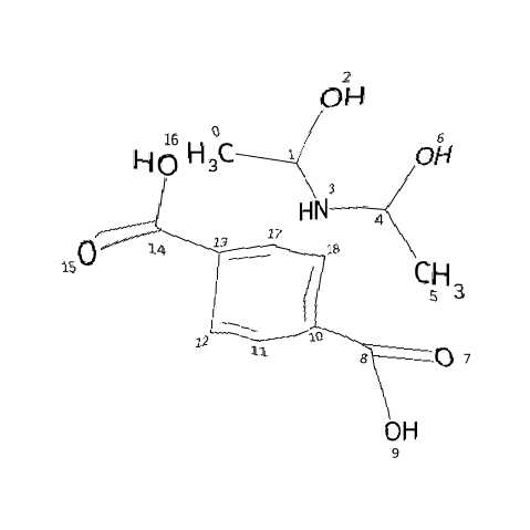 CC(O)NC(C)O.O=C(O)c1ccc(C(=O)O)cc1